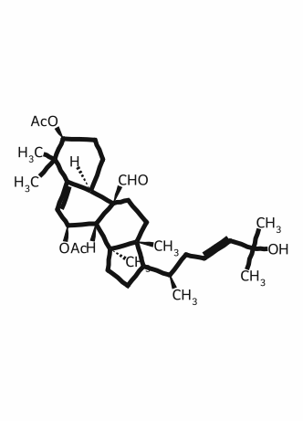 CC(=O)O[C@H]1C=C2[C@@H](CC[C@H](OC(C)=O)C2(C)C)[C@]2(C=O)CC[C@]3(C)C([C@H](C)C/C=C/C(C)(C)O)CC[C@@]3(C)[C@H]12